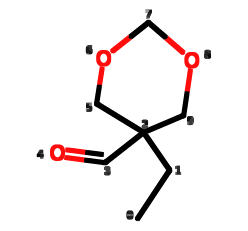 CCC1(C=O)COCOC1